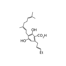 CC/C=C/Cc1cc(O)c(C/C=C(\C)CCC=C(C)C)c(O)c1C(=O)O